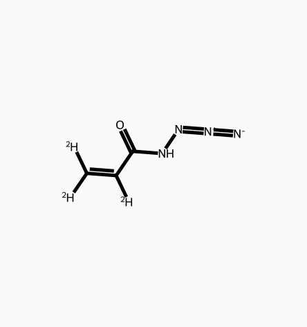 [2H]C([2H])=C([2H])C(=O)NN=[N+]=[N-]